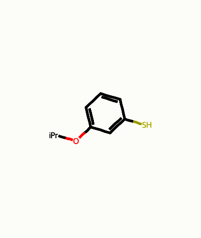 CC(C)Oc1cccc(S)c1